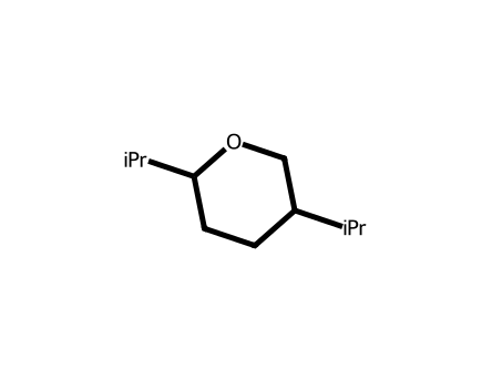 CC(C)C1CCC(C(C)C)OC1